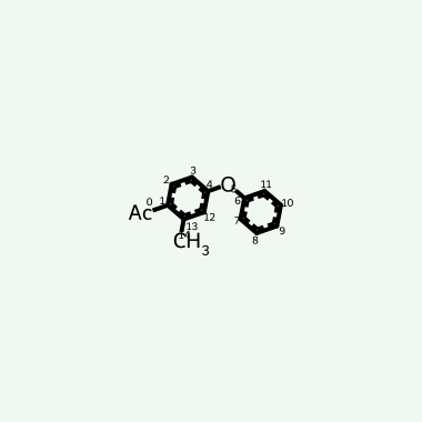 CC(=O)c1ccc(Oc2ccccc2)cc1C